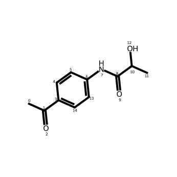 CC(=O)c1ccc(NC(=O)C(C)O)cc1